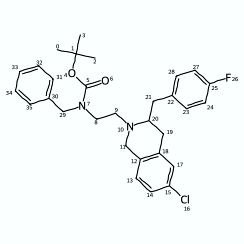 CC(C)(C)OC(=O)N(CCN1Cc2ccc(Cl)cc2CC1Cc1ccc(F)cc1)Cc1ccccc1